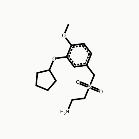 COc1ccc(CS(=O)(=O)CCN)cc1OC1CCCC1